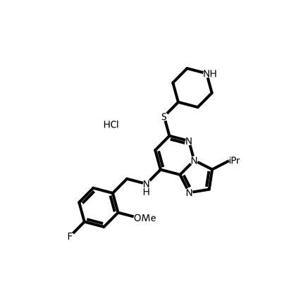 COc1cc(F)ccc1CNc1cc(SC2CCNCC2)nn2c(C(C)C)cnc12.Cl